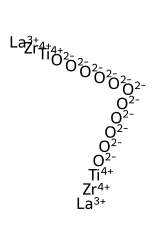 [La+3].[La+3].[O-2].[O-2].[O-2].[O-2].[O-2].[O-2].[O-2].[O-2].[O-2].[O-2].[O-2].[Ti+4].[Ti+4].[Zr+4].[Zr+4]